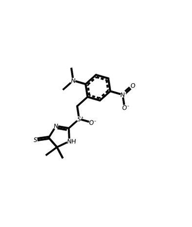 CN(C)c1ccc([N+](=O)[O-])cc1C[S+]([O-])C1=NC(=S)C(C)(C)N1